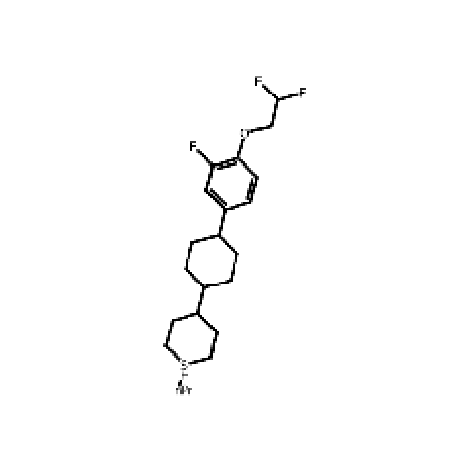 CCC[SiH]1CCC(C2CCC(c3ccc(OCC(F)F)c(F)c3)CC2)CC1